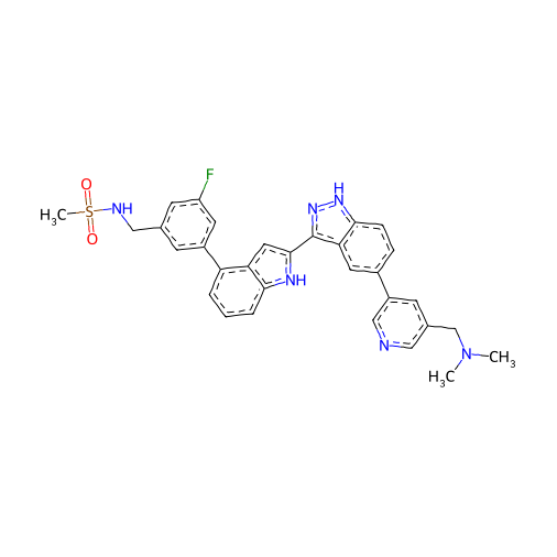 CN(C)Cc1cncc(-c2ccc3[nH]nc(-c4cc5c(-c6cc(F)cc(CNS(C)(=O)=O)c6)cccc5[nH]4)c3c2)c1